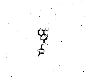 Cc1cnc(COc2cnc3c(Cl)nccc3n2)o1